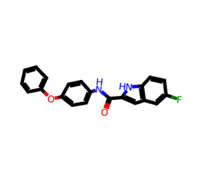 O=C(Nc1ccc(Oc2ccccc2)cc1)c1cc2cc(F)ccc2[nH]1